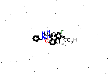 CCC(NC(=O)NCc1ccccc1)c1ccccc1-c1c(OC)cc(F)c(CC(=O)O)c1C(F)(F)F